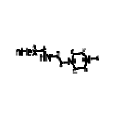 CCCCCCCNCCN1CCN(C)CC1